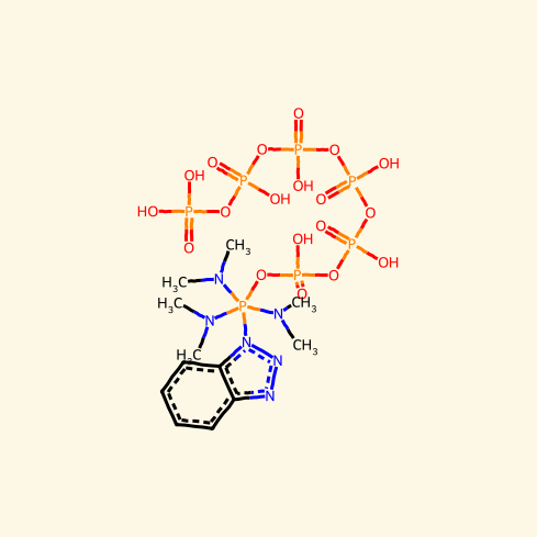 CN(C)P(OP(=O)(O)OP(=O)(O)OP(=O)(O)OP(=O)(O)OP(=O)(O)OP(=O)(O)O)(N(C)C)(N(C)C)n1nnc2ccccc21